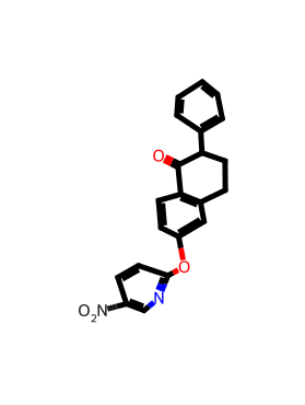 O=C1c2ccc(Oc3ccc([N+](=O)[O-])cn3)cc2CCC1c1ccccc1